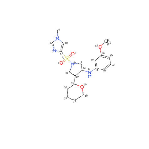 Cn1cnc(S(=O)(=O)N2CC(Nc3cccc(OC(F)(F)F)c3)C([C@H]3CCCCO3)C2)c1